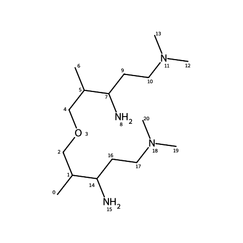 CC(COCC(C)C(N)CCN(C)C)C(N)CCN(C)C